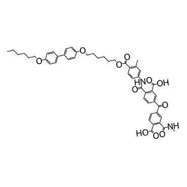 CCCCCCOc1ccc(-c2ccc(OCCCCCCOC(=O)c3ccc(NC(=O)c4ccc(C(=O)c5ccc(C(=O)O)c(C(=O)NC)c5)cc4C(=O)O)cc3C)cc2)cc1